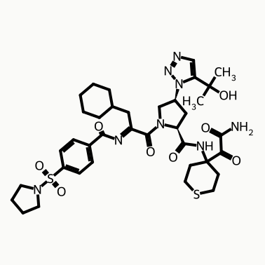 CC(C)(O)c1cnnn1[C@H]1C[C@@H](C(=O)NC2(C(=O)C(N)=O)CCSCC2)N(C(=O)/C(CC2CCCCC2)=N/C(=O)c2ccc(S(=O)(=O)N3CCCC3)cc2)C1